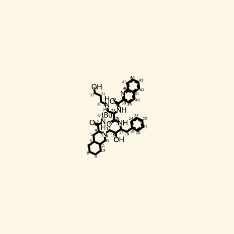 CC(C)(C)NC(=O)C1CC2CCCCC2CN1CC(O)C(Cc1ccccc1)NC(=O)C(CNCCCO)NC(=O)c1ccc2ccccc2n1